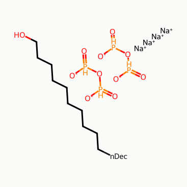 CCCCCCCCCCCCCCCCCCCCO.O=[PH]([O-])O[PH](=O)[O-].O=[PH]([O-])O[PH](=O)[O-].[Na+].[Na+].[Na+].[Na+]